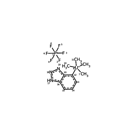 F[P-](F)(F)(F)(F)F.[CH3][U+]([CH3])([CH3])([CH3])[c]1cccc2[nH]nnc12